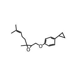 CC(C)=CCCC1(C)OC1COc1ccc(C2CC2)cc1